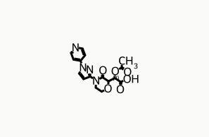 CC(=O)O[C@@H](C(=O)O)C1OCCN(c2ccn(-c3ccncc3)n2)C1=O